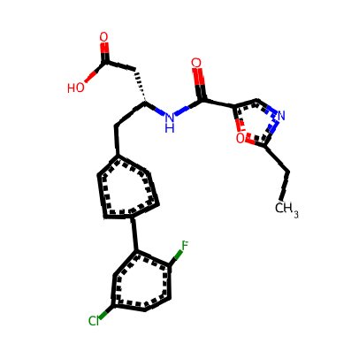 CCc1ncc(C(=O)N[C@@H](CC(=O)O)Cc2ccc(-c3cc(Cl)ccc3F)cc2)o1